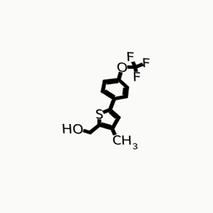 Cc1cc(-c2ccc(OC(F)(F)F)cc2)sc1CO